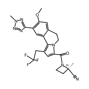 COc1cc2c(cc1-c1nnn(C)n1)-c1c(CC(F)(F)F)cc(C(=O)N3CC[C@]3(C)C#N)n1CC2